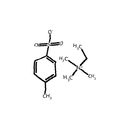 CC[N+](C)(C)C.Cc1ccc(S(=O)(=O)[O-])cc1